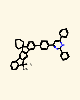 CC1(C)c2ccccc2-c2cc3c(cc21)-c1cc(-c2ccc(C4=NC(c5ccccc5)NC(c5ccccc5)=C4)cc2)ccc1C31CCCCC1